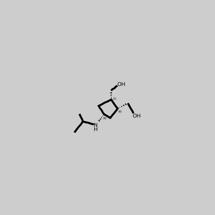 CC(C)N[C@H]1C[C@@H](CO)[C@@H](CO)C1